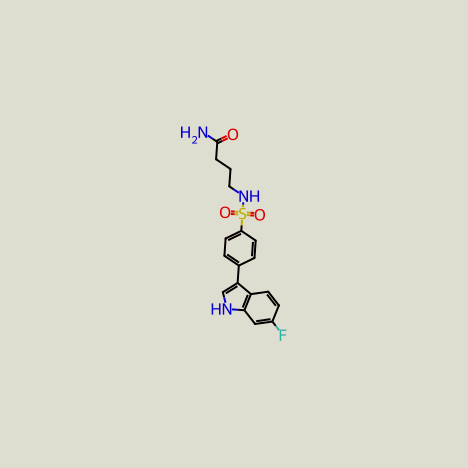 NC(=O)CCCNS(=O)(=O)c1ccc(-c2c[nH]c3cc(F)ccc23)cc1